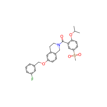 CC(C)Oc1ccc(S(C)(=O)=O)cc1C(=O)N1CCc2cc(OCc3cccc(F)c3)ccc2C1